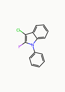 Clc1c(I)n(-c2ccccc2)c2ccccc12